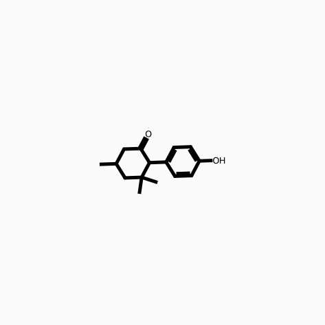 CC1CC(=O)C(c2ccc(O)cc2)C(C)(C)C1